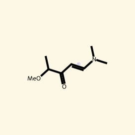 COC(C)C(=O)/C=C/N(C)C